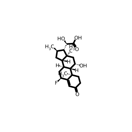 C[C@@H]1C[C@H]2[C@@H]3C[C@H](F)C4=CC(=O)CC[C@]4(C)[C@H]3[C@@H](O)C[C@]2(C)[C@H]1[C@@H](O)C(=O)O